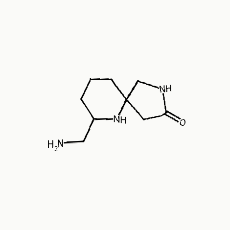 NCC1CCCC2(CNC(=O)C2)N1